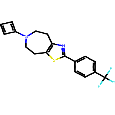 FC(F)(F)c1ccc(-c2nc3c(s2)CCN(C2=CC=C2)CC3)cc1